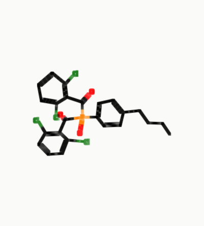 CCCCc1ccc(P(=O)(C(=O)c2c(Cl)cccc2Cl)C(=O)c2c(Cl)cccc2Cl)cc1